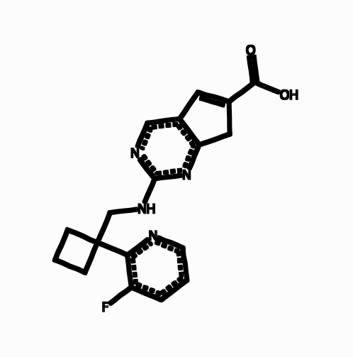 O=C(O)C1=Cc2cnc(NCC3(c4ncccc4F)CCC3)nc2C1